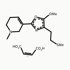 COc1oc(C2=CCCN(C)C2)nc1CCSC.O=C(O)/C=C\C(=O)O